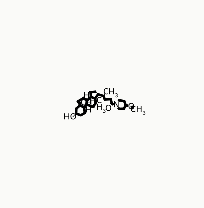 COC1CCN(C(=O)CC[C@@H](C)[C@H]2CC[C@H]3[C@@H]4CC=C5C[C@@H](O)CC[C@]5(C)[C@H]4CC[C@]23C)CC1